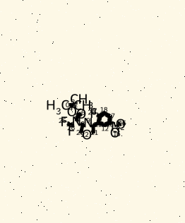 CC(C)(C)OC(=O)N(C1=NC(c2cc([N+](=O)[O-])ccc2F)COC1)C(F)F